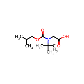 CC(C)COC(=O)N(CC(=O)O)C(C)(C)C